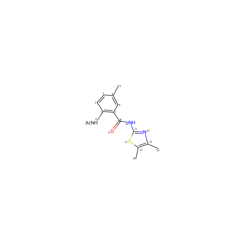 CC(=O)Nc1ccc(C)cc1C(=O)Nc1nc(C)c(C)s1